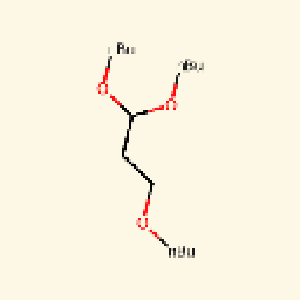 CCCCOCCC(OCCCC)OCCCC